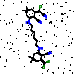 CC1(C)CC(NCCCCCCNC2=C(C#N)/C(=C(/Cl)C#N)CC(C)(C)C2)=C(C#N)C(=C(Cl)Cl)C1